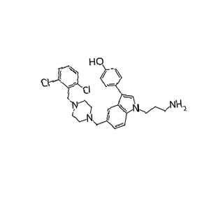 NCCCn1cc(-c2ccc(O)cc2)c2cc(CN3CCN(Cc4c(Cl)cccc4Cl)CC3)ccc21